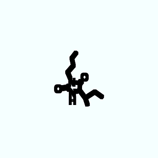 CCCCN1C(=O)NC(C(C)CC)C1=O